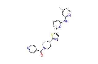 Cc1ccnc(Nc2cccc(-c3cnc(C4CCN(C(=O)c5ccncc5)CC4)s3)n2)c1